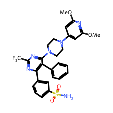 COc1cc(N2CCN(c3nc(C(F)(F)F)nc(-c4cccc(S(N)(=O)=O)c4)c3-c3ccccc3)CC2)cc(OC)n1